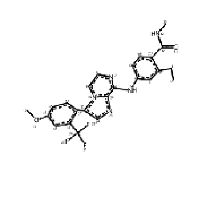 CCc1cc(Nc2nccn3c(-c4ccc(OC)cc4C(F)(F)F)cnc23)ccc1C(=O)NC